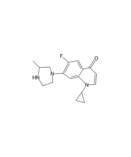 CC1CN(c2cc3c(cc2F)c(=O)ccn3C2CC2)CCN1